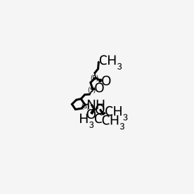 CCCC[C@@H]1C[C@H](CCC2CCCC[C@@H]2NC(=O)OC(C)(C)C)OC1=O